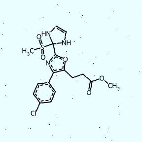 COC(=O)CCc1oc(C2(S(C)(=O)=O)NC=CN2)nc1-c1ccc(Cl)cc1